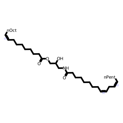 CCCCC/C=C\C/C=C\CCCCCCCC(=O)NCC(O)COC(=O)CCCCCCC/C=C\CCCCCCCC